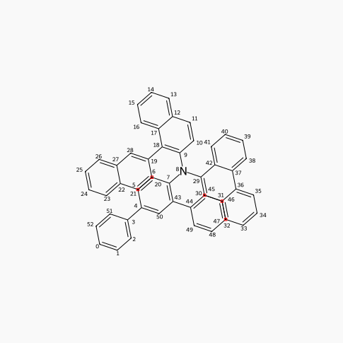 c1ccc(-c2ccc(N(c3ccc4ccccc4c3-c3ccc4ccccc4c3)c3cc4ccccc4c4ccccc34)c(-c3ccccc3)c2)cc1